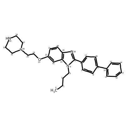 CCCCn1c(-c2ccc(-c3ccccc3)cc2)nc2ccc(OCCN3CCNCC3)cc21